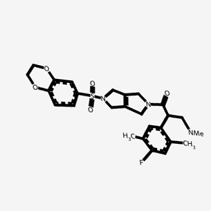 CNCC(C(=O)N1CC2=C(C1)CN(S(=O)(=O)c1ccc3c(c1)OCCO3)C2)c1cc(C)c(F)cc1C